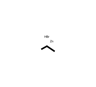 Br.CCC.[Zn]